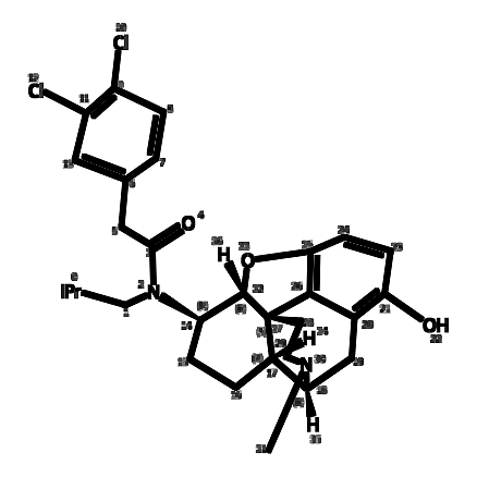 CC(C)CN(C(=O)Cc1ccc(Cl)c(Cl)c1)[C@@H]1CC[C@H]2[C@H]3Cc4c(O)ccc5c4[C@@]2(CCN3C)[C@H]1O5